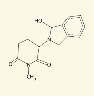 CN1C(=O)CCC(N2Cc3ccccc3C2O)C1=O